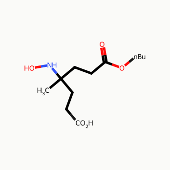 CCCCOC(=O)CCC(C)(CCC(=O)O)NO